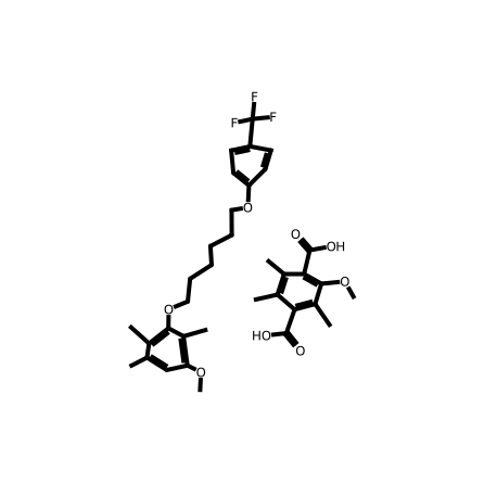 COc1c(C)c(C(=O)O)c(C)c(C)c1C(=O)O.COc1cc(C)c(C)c(OCCCCCCOc2ccc(C(F)(F)F)cc2)c1C